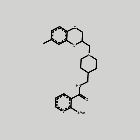 CSc1ncccc1C(=O)NCC1CCN(CC2COc3ccc(C)cc3O2)CC1